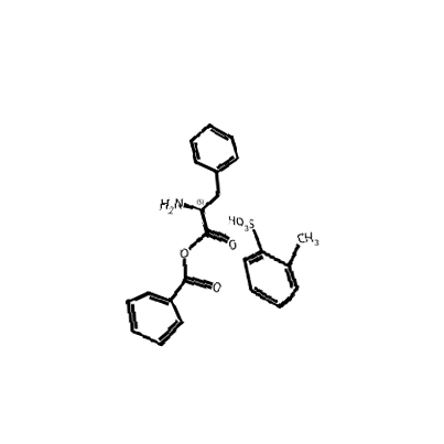 Cc1ccccc1S(=O)(=O)O.N[C@@H](Cc1ccccc1)C(=O)OC(=O)c1ccccc1